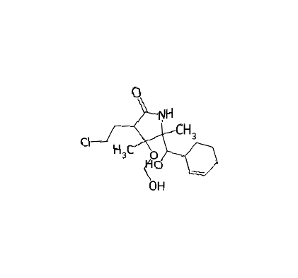 CC1(C(O)C2C=CCCC2)NC(=O)C(CCCl)C1(C)OCO